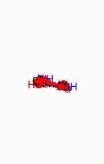 Cc1cc(S(=O)(=O)NCCCCCCCCCc2cccc3c2n(C)c(=O)n3C2CCC(=O)NC2=O)ccc1Nc1ncc2cc(C(F)F)c(=O)n([C@@H]3CCC[C@@]3(C)O)c2n1